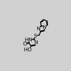 O=c1[nH]c(SCc2cn3ccccc3n2)ncc1O